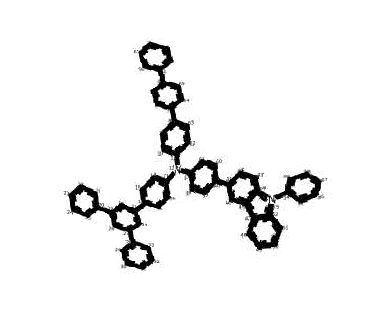 c1ccc(-c2ccc(-c3ccc(N(c4ccc(-c5cc(-c6ccccc6)cc(-c6ccccc6)c5)cc4)c4ccc(-c5ccc6c(c5)c5ccccc5n6-c5ccccc5)cc4)cc3)cc2)cc1